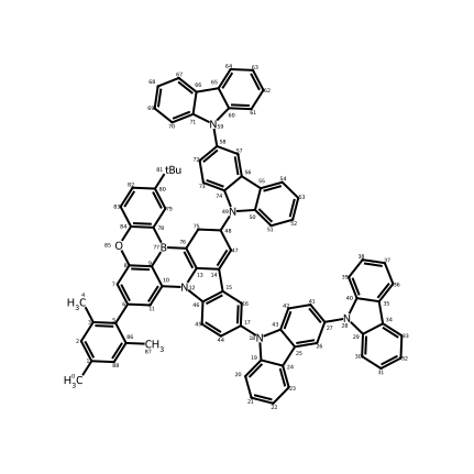 Cc1cc(C)c(-c2cc3c4c(c2)-n2c5c(c6cc(-n7c8ccccc8c8cc(-n9c%10ccccc%10c%10ccccc%109)ccc87)ccc62)=CC(n2c6ccccc6c6cc(-n7c8ccccc8c8ccccc87)ccc62)CC=5B4c2cc(C(C)(C)C)ccc2O3)c(C)c1